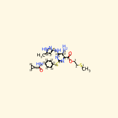 CSCCOC(=O)c1nc(Sc2ccc(NC(=O)C3CC3)cc2)nc(Nc2cc(C)[nH]n2)c1N